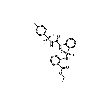 CCOC(=O)c1ccccc1NS(=O)(=O)c1ccccc1NC(=O)NS(=O)(=O)c1ccc(C)cc1